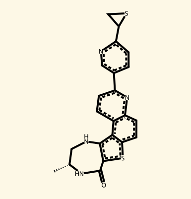 C[C@@H]1CNc2c(sc3ccc4nc(-c5ccc(C6CS6)nc5)ccc4c23)C(=O)N1